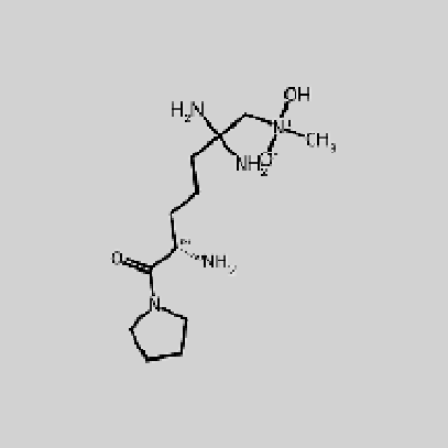 C[N+]([O-])(O)CC(N)(N)CCC[C@H](N)C(=O)N1CCCC1